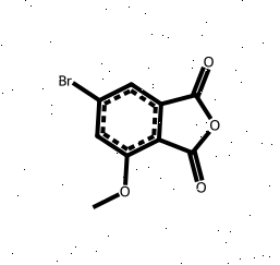 COc1cc(Br)cc2c1C(=O)OC2=O